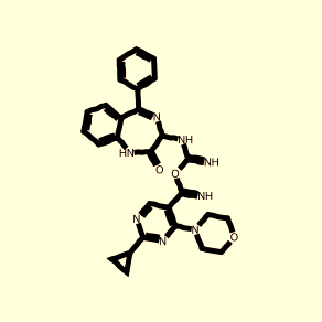 N=C(NC1N=C(c2ccccc2)c2ccccc2NC1=O)OC(=N)c1cnc(C2CC2)nc1N1CCOCC1